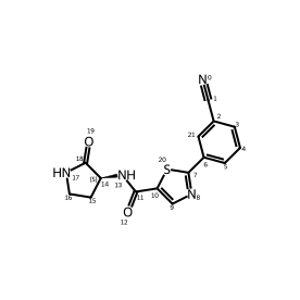 N#Cc1cccc(-c2ncc(C(=O)N[C@H]3CCNC3=O)s2)c1